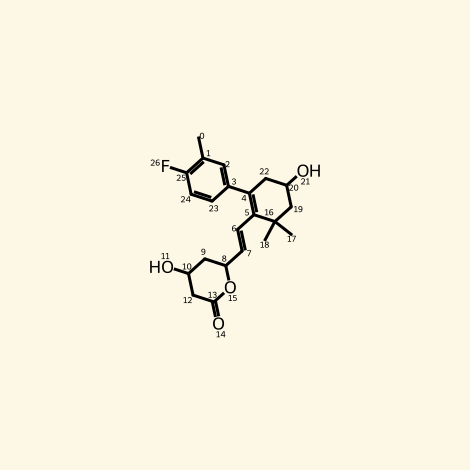 Cc1cc(C2=C(C=CC3CC(O)CC(=O)O3)C(C)(C)CC(O)C2)ccc1F